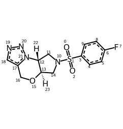 O=S(=O)(c1ccc(F)cc1)N1C[C@@H]2[C@@H](C1)OCc1cnnn12